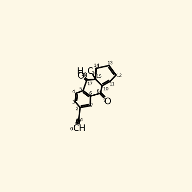 C#Cc1ccc2c(c1)C(=O)C1=CC=CCC1(C)C2=O